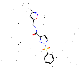 Cc1cc(CNC(=O)c2ccn(S(=O)(=O)c3ccccc3)n2)on1